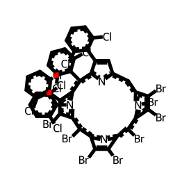 Clc1cccc(Cl)c1C1=Cc2cc3c(Br)c(Br)c(c(Br)c4nc(c(Br)c5c(Br)c(-c6c(Cl)cccc6Cl)c(c(-c6c(Cl)cccc6Cl)c1n2)n5-c1c(Cl)cccc1Cl)C(Br)=C4Br)n3Br